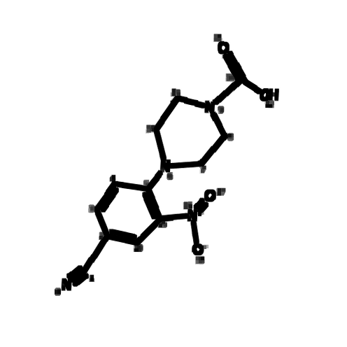 N#Cc1ccc(N2CCN(C(=O)O)CC2)c([N+](=O)[O-])c1